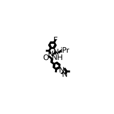 Cc1cn(-c2ccc(/C=C3\N/C(=N\CC(C)C)N(C(C)c4ccc(F)cc4)C3=O)cc2C)cn1